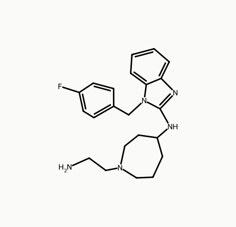 NCCN1CCCC(Nc2nc3ccccc3n2Cc2ccc(F)cc2)CC1